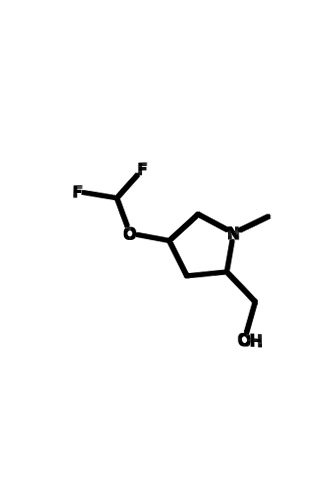 CN1CC(OC(F)F)CC1CO